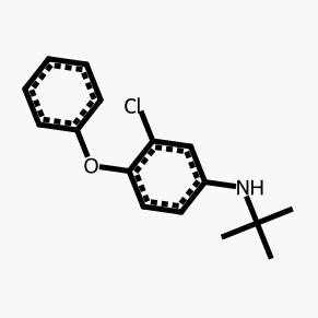 CC(C)(C)Nc1ccc(Oc2ccccc2)c(Cl)c1